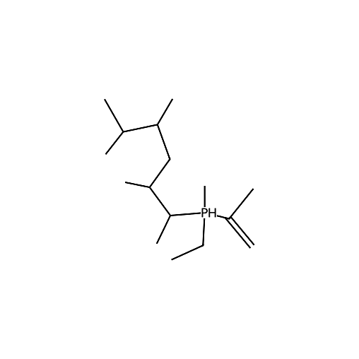 C=C(C)[PH](C)(CC)C(C)C(C)CC(C)C(C)C